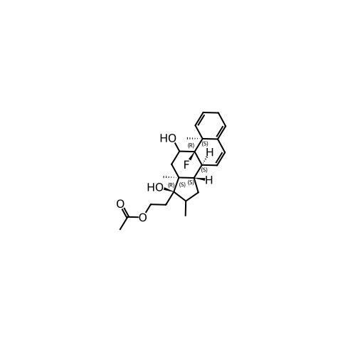 CC(=O)OCC[C@@]1(O)C(C)C[C@H]2[C@@H]3C=CC4=CCC=C[C@]4(C)[C@@]3(F)C(O)C[C@@]21C